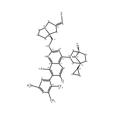 Cc1cc(N)nc(-c2c(Cl)cc3c(N4C[C@@H]5CC[C@](C6CC6)(C4)N5)nc(OC[C@@]45CCCN4C/C(=C\F)C5)nc3c2F)c1C(F)(F)F